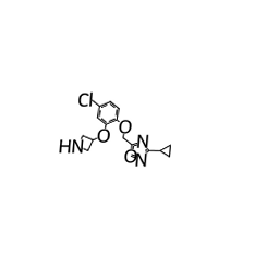 Clc1ccc(OCc2nc(C3CC3)no2)c(OC2CNC2)c1